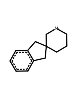 c1ccc2c(c1)CC1(CCC[N]C1)C2